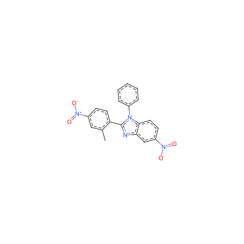 Cc1cc([N+](=O)[O-])ccc1-c1nc2cc([N+](=O)[O-])ccc2n1-c1ccccc1